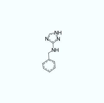 c1ccc(CNc2nc[nH]n2)cc1